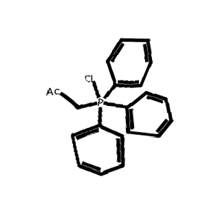 CC(=O)CP(Cl)(c1ccccc1)(c1ccccc1)c1ccccc1